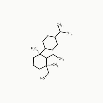 CCC1[C@@](C)(CO)CCC[C@@]1(C)C1CCC(C(C)C)CC1